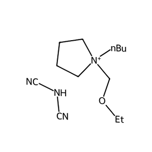 CCCC[N+]1(COCC)CCCC1.N#CNC#N